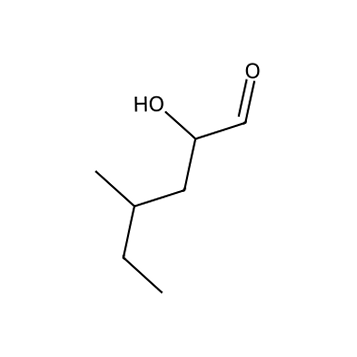 CCC(C)CC(O)C=O